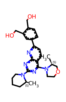 C[C@H]1CCCCN1c1nc(N2CCOC[C@@H]2C)c2ccc(-c3ccc(CO)c(CO)c3)nc2n1